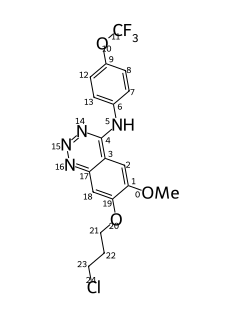 COc1cc2c(Nc3ccc(OC(F)(F)F)cc3)nnnc2cc1OCCCCl